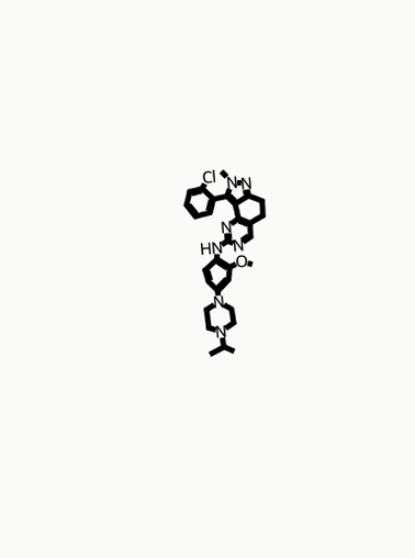 COc1cc(N2CCN(C(C)C)CC2)ccc1Nc1ncc2c(n1)-c1c(nn(C)c1-c1ccccc1Cl)CC2